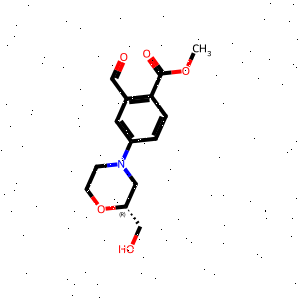 COC(=O)c1ccc(N2CCO[C@@H](CO)C2)cc1C=O